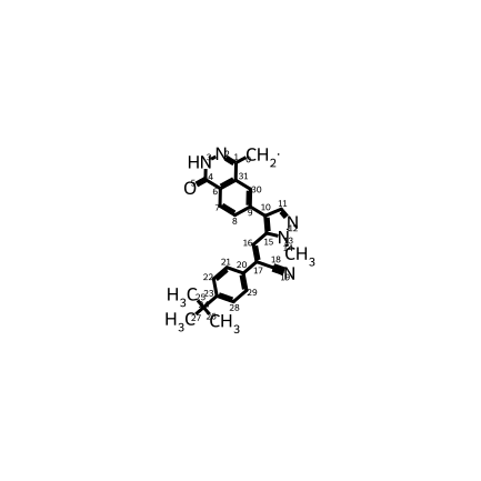 [CH2]c1n[nH]c(=O)c2ccc(-c3cnn(C)c3C=C(C#N)c3ccc(C(C)(C)C)cc3)cc12